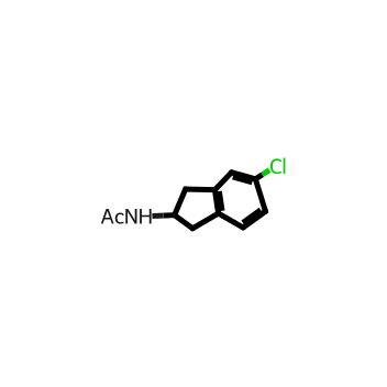 CC(=O)NC1Cc2ccc(Cl)cc2C1